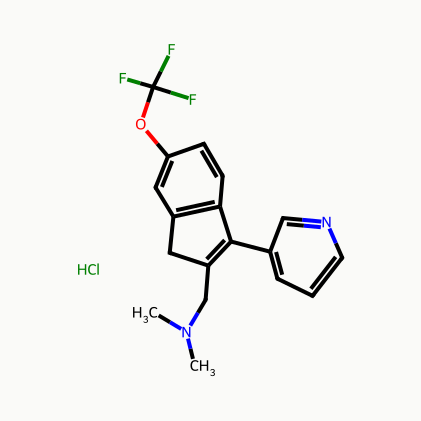 CN(C)CC1=C(c2cccnc2)c2ccc(OC(F)(F)F)cc2C1.Cl